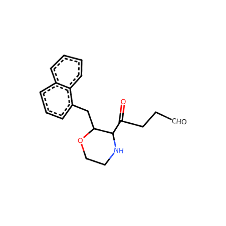 O=CCCC(=O)C1NCCOC1Cc1cccc2ccccc12